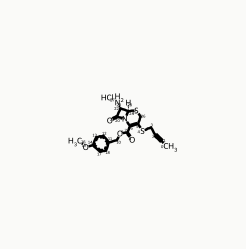 CC#CCSC1=C(C(=O)OCc2ccc(OC)cc2)N2C(=O)[C@@H](N)[C@H]2SC1.Cl